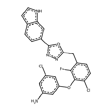 Nc1cc(Cl)cc(Oc2c(Cl)ccc(Cc3nnc(-c4ccc5cc[nH]c5c4)o3)c2F)c1